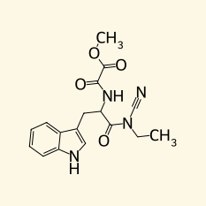 CCN(C#N)C(=O)C(Cc1c[nH]c2ccccc12)NC(=O)C(=O)OC